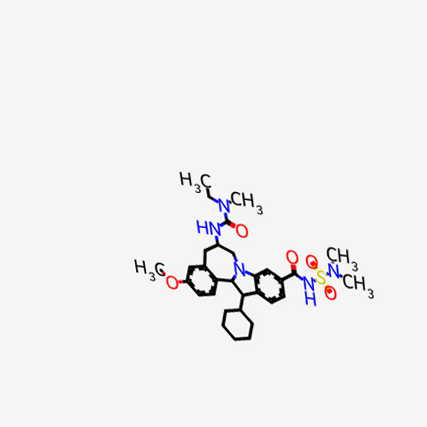 CCN(C)C(=O)NC1Cc2cc(OC)ccc2C2C(C3CCCCC3)c3ccc(C(=O)NS(=O)(=O)N(C)C)cc3N2C1